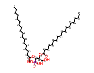 CCCCCCCCCCCCCCCCCC(=O)OC([C@H](CO)OC(=O)CCCCCCCCCCCCCCCCC)P(=O)(O)O